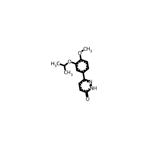 COc1ccc(-c2ccc(=O)[nH]n2)cc1OC(C)C